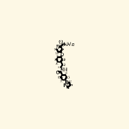 CNC(=O)c1cc(Oc2cccc(CCNC(=O)c3ccc(-n4cccn4)cc3)c2)ccn1